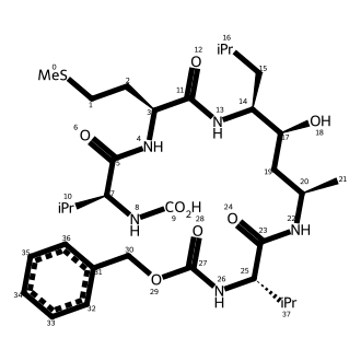 CSCC[C@H](NC(=O)[C@@H](NC(=O)O)C(C)C)C(=O)N[C@@H](CC(C)C)[C@@H](O)C[C@@H](C)NC(=O)[C@@H](NC(=O)OCc1ccccc1)C(C)C